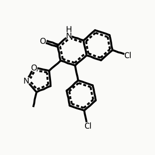 Cc1cc(-c2c(-c3ccc(Cl)cc3)c3cc(Cl)ccc3[nH]c2=O)on1